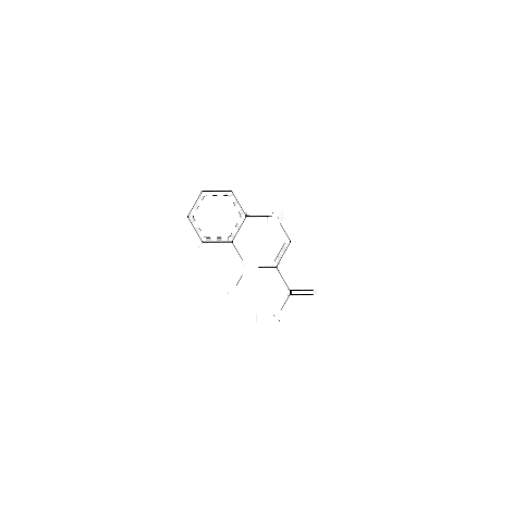 NC(=O)C1=CNc2ccccc2[S+]1[O-]